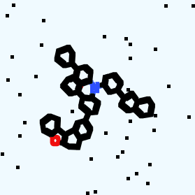 C1=CC(c2ccc3ccccc3c2)CC(N(c2ccc(-c3ccccc3)cc2)c2ccc(-c3ccc4ccc5oc6ccccc6c5c4c3)cc2-c2ccccc2)=C1